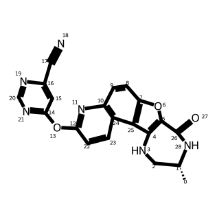 C[C@@H]1CNc2c(oc3ccc4nc(Oc5cc(C#N)ncn5)ccc4c23)C(=O)N1